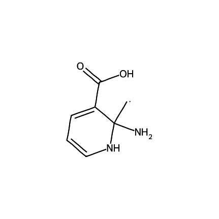 [CH2]C1(N)NC=CC=C1C(=O)O